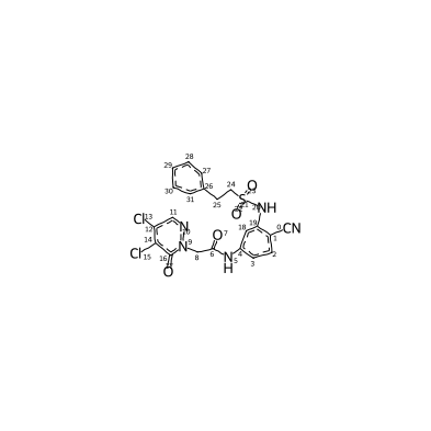 N#Cc1ccc(NC(=O)Cn2ncc(Cl)c(Cl)c2=O)cc1NS(=O)(=O)CCc1ccccc1